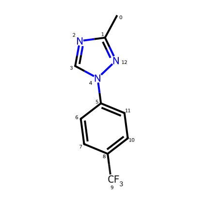 Cc1ncn(-c2ccc(C(F)(F)F)cc2)n1